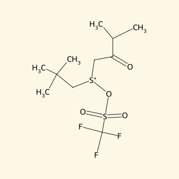 CC(C)C(=O)C[S+](CC(C)(C)C)OS(=O)(=O)C(F)(F)F